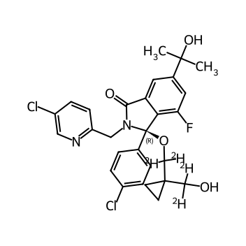 [2H]C([2H])(O)C1(C([2H])([2H])O[C@]2(c3ccc(Cl)cc3)c3c(F)cc(C(C)(C)O)cc3C(=O)N2Cc2ccc(Cl)cn2)CC1